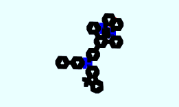 CC1(C)c2ccccc2-c2ccc(N(c3ccc(-c4ccccc4)cc3)c3ccc(-c4cc5c6c(c4)-c4ccccc4N(c4ccccc4)B6N(c4ccccc4)c4ccccc4-5)cc3)cc21